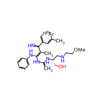 C=C(N/C(Nc1ccccc1)=C(\C)C(=N)C(/C=C(/C)C(C)=O)=C/CCC)N[C@@H](CO)CNCCOC